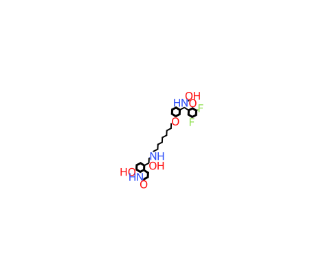 O=C(O)NC(c1cc(F)cc(F)c1)c1cccc(OCCCCCCCCCNCC(O)c2ccc(O)c3[nH]c(=O)ccc23)c1